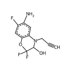 C#CCN1c2cc(N)c(F)cc2OC(F)(F)C1O